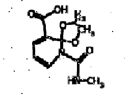 CNC(=O)N1C=CC=C(C(=O)O)C1(OC)OC